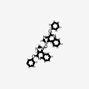 c1ccc(Oc2nc3ccccc3c3c2ncn3On2cnc3c(Oc4ccccc4)nc4ccccc4c32)cc1